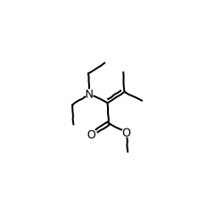 CCN(CC)C(C(=O)OC)=C(C)C